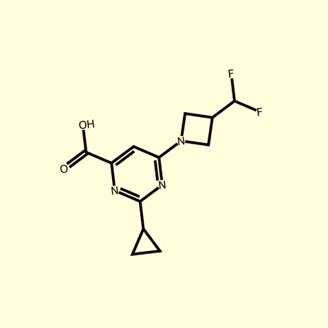 O=C(O)c1cc(N2CC(C(F)F)C2)nc(C2CC2)n1